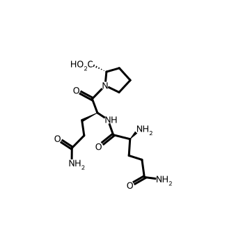 NC(=O)CC[C@H](NC(=O)[C@@H](N)CCC(N)=O)C(=O)N1CCC[C@H]1C(=O)O